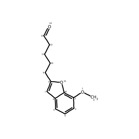 COc1cccc2cc(CCCCC=O)oc12